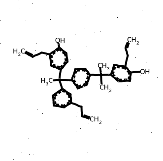 C=CCc1cccc(C(C)(c2ccc(C(C)(C)c3ccc(O)c(CC=C)c3)cc2)c2ccc(O)c(CC=C)c2)c1